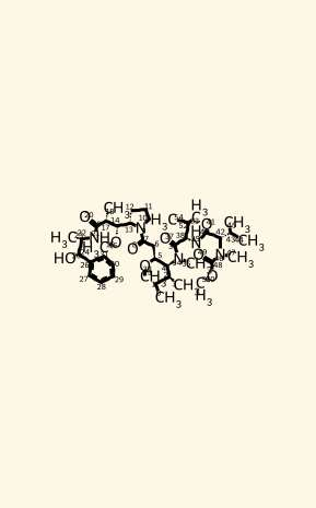 CC[C@H](C)[C@@H]([C@H](CC(=O)N1CCC[C@H]1[C@H](OC)[C@@H](C)C(=O)N[C@@H](C)[C@H](O)c1ccccc1)OC)N(C)C(=O)[C@@H](NC(=O)[C@H](C(C)C)N(C)C(=O)OC)C(C)C